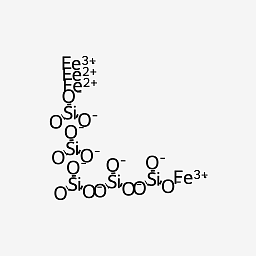 O=[Si]([O-])[O-].O=[Si]([O-])[O-].O=[Si]([O-])[O-].O=[Si]([O-])[O-].O=[Si]([O-])[O-].[Fe+2].[Fe+2].[Fe+3].[Fe+3]